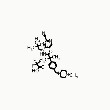 CN1CCN(Cc2ccc(C(C)(C)C(=O)NN(CC(C)(C)C)c3ccnc(C#N)n3)cc2)CC1.O=C(O)C(F)(F)F